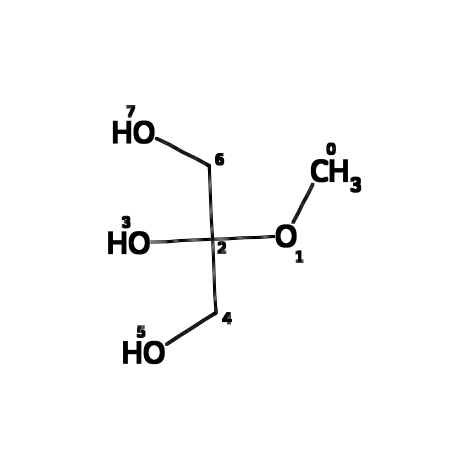 COC(O)(CO)CO